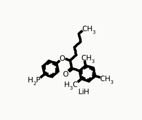 CCCCCC(Oc1ccc(P)cc1)C(=O)c1c(C)cc(C)cc1C.[LiH]